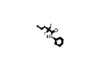 CCCC(F)(F)C(=O)Nc1ccccc1